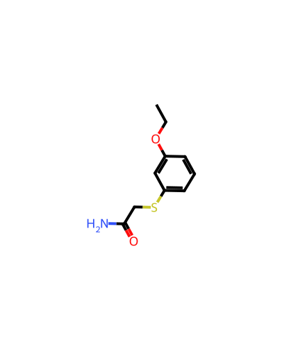 CCOc1cccc(SCC(N)=O)c1